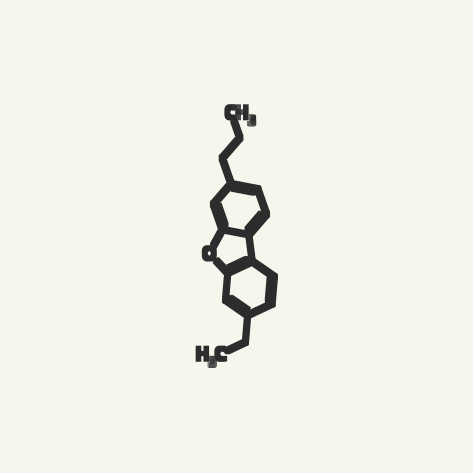 CCCc1ccc2c(c1)oc1cc(CC)ccc12